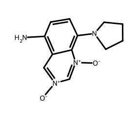 Nc1ccc(N2CCCC2)c2c1c[n+]([O-])c[n+]2[O-]